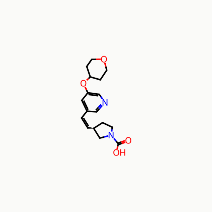 O=C(O)N1CC[C@H](/C=C\c2cncc(OC3CCOCC3)c2)C1